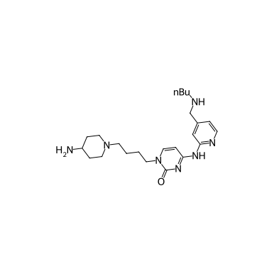 CCCCNCc1ccnc(Nc2ccn(CCCCN3CCC(N)CC3)c(=O)n2)c1